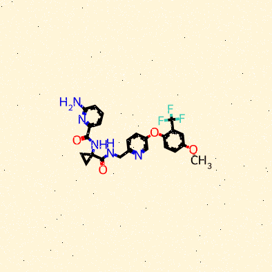 COc1ccc(Oc2ccc(CNC(=O)C3(NC(=O)c4cccc(N)n4)CC3)nc2)c(C(F)(F)F)c1